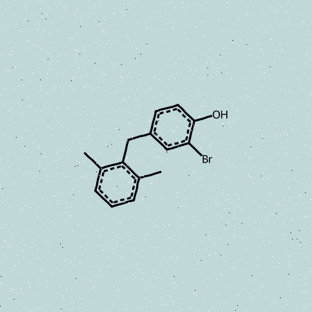 Cc1cccc(C)c1Cc1[c]c(Br)c(O)cc1